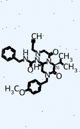 C#CCN1CC(=O)N2[C@@H](C(C)C)C(=O)N(Cc3ccc(OC)cc3)C[C@@H]2N1C(=O)NCc1ccccc1